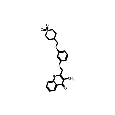 Cc1c(COc2cccc(OCC3CCS(=O)(=O)CC3)c2)[nH]c2ccccc2c1=O